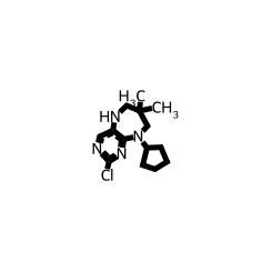 CC1(C)CNc2cnc(Cl)nc2N(C2CCCC2)C1